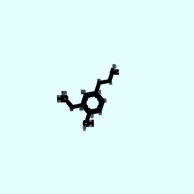 CC(=O)CCc1ccc(O)c(CO)c1